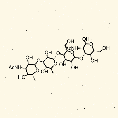 CC(=O)N[C@@H]1[C@@H](O)[C@@H](O[C@@H]2[C@@H](O)[C@H](C)O[C@@H](O[C@@H]3[C@H](O)[C@@H](O)[C@H](O[C@H]4[C@@H](O)[C@@H](CO)O[C@H](O)[C@@H]4NC(C)=O)O[C@@H]3CO)[C@@H]2O)O[C@H](C)[C@H]1O